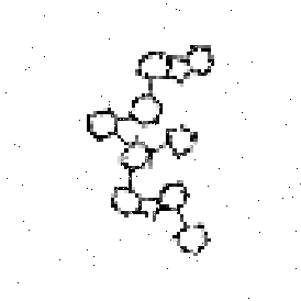 c1ccc(-c2nc(-c3ccccc3-c3cccc(-c4cccc5c4sc4ccccc45)c3)nc(-c3cccc4oc5c(-c6ccccc6)cccc5c34)n2)cc1